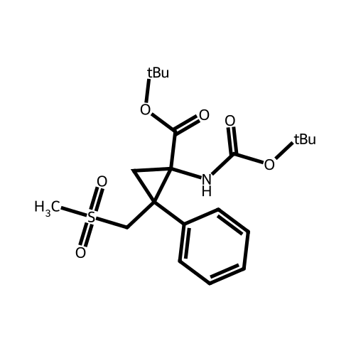 CC(C)(C)OC(=O)NC1(C(=O)OC(C)(C)C)CC1(CS(C)(=O)=O)c1ccccc1